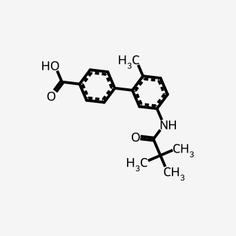 Cc1ccc(NC(=O)C(C)(C)C)cc1-c1ccc(C(=O)O)cc1